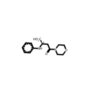 O=C(O)[C@@H](CC(=O)N1CCOCC1)Nc1ccccc1